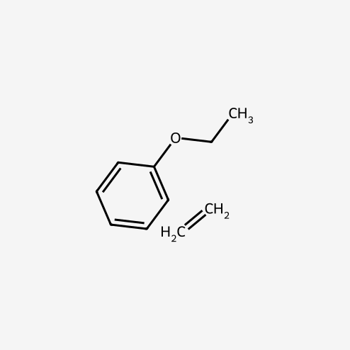 C=C.CCOc1ccccc1